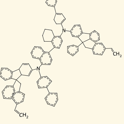 C=Cc1ccc(CC2(c3ccccc3)c3ccccc3-c3ccc(N(C4=CC=C(c5ccccc5)CC4)c4ccc(-c5ccc(N(C6=CC7C(C=C6)c6ccccc6C7(Cc6ccc(C=C)cc6)c6ccccc6)c6ccc(-c7ccccc7)cc6)c6ccccc56)c5c4CCCC5)cc32)cc1